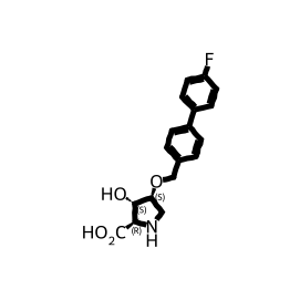 O=C(O)[C@@H]1NC[C@H](OCc2ccc(-c3ccc(F)cc3)cc2)[C@H]1O